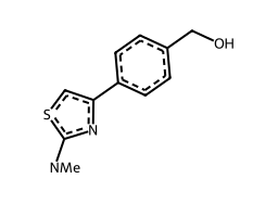 CNc1nc(-c2ccc(CO)cc2)cs1